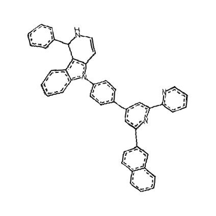 C1=Cc2c(c3ccccc3n2-c2ccc(-c3cc(-c4ccc5ccccc5c4)nc(-c4ccccn4)c3)cc2)C(c2ccccc2)N1